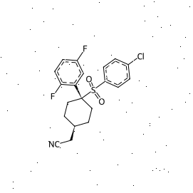 N#CC[C@H]1CC[C@](c2cc(F)ccc2F)(S(=O)(=O)c2ccc(Cl)cc2)CC1